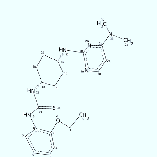 CCOc1ccccc1NC(=S)N[C@H]1CC[C@@H](Nc2nccc(N(C)C)n2)CC1